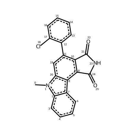 Cn1c2ccccc2c2c3c(c(-c4ccccc4Cl)cc21)C(=O)NC3=O